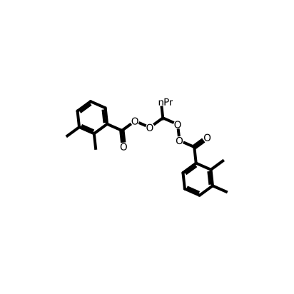 [CH2]CC[C](OOC(=O)c1cccc(C)c1C)OOC(=O)c1cccc(C)c1C